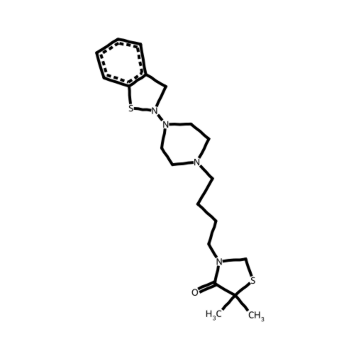 CC1(C)SCN(CCCCN2CCN(N3Cc4ccccc4S3)CC2)C1=O